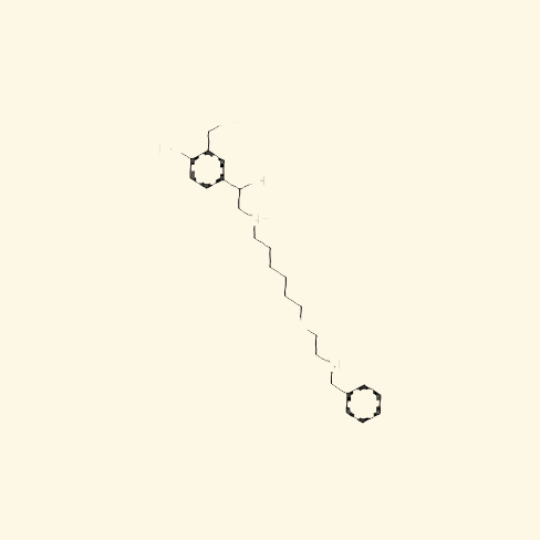 OCc1cc(C(O)CNCCCCCCOCCNCc2ccccc2)ccc1O